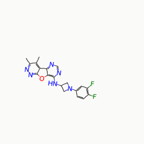 Cc1nnc2oc3c(NC4CN(c5ccc(F)c(F)c5)C4)ncnc3c2c1C